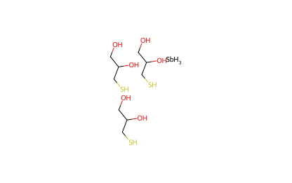 OCC(O)CS.OCC(O)CS.OCC(O)CS.[SbH3]